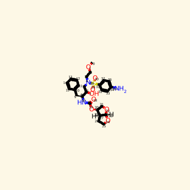 COCCN(CC(O)[C@H](Cc1ccccc1)NC(=O)O[C@H]1CO[C@H]2OCC[C@H]21)S(=O)(=O)c1ccc(N)cc1